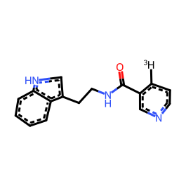 [3H]c1ccncc1C(=O)NCCc1c[nH]c2ccccc12